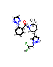 C[C@@H]1CC[C@@H](c2cnn(CC(F)F)c2)CN1C(=O)c1ccccc1-n1nccn1